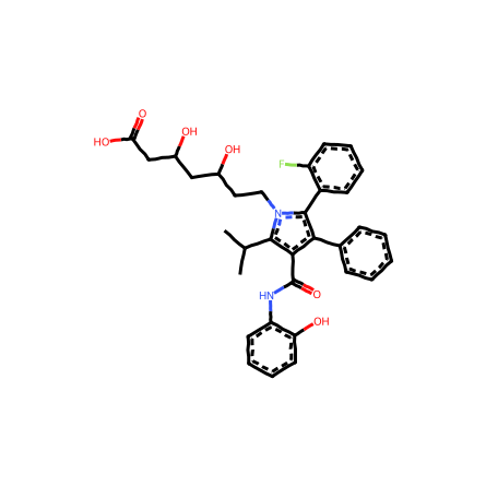 CC(C)c1c(C(=O)Nc2ccccc2O)c(-c2ccccc2)c(-c2ccccc2F)n1CCC(O)CC(O)CC(=O)O